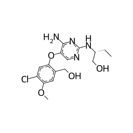 CC[C@H](CO)Nc1ncc(Oc2cc(Cl)c(OC)cc2CO)c(N)n1